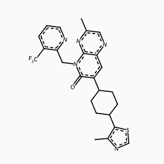 Cc1cnc2cc(C3CCC(c4scnc4C)CC3)c(=O)n(Cc3ncccc3C(F)(F)F)c2n1